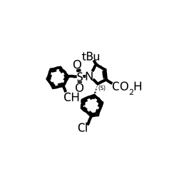 Cc1ccccc1S(=O)(=O)N1C(C(C)(C)C)C=C(C(=O)O)[C@@H]1c1ccc(Cl)cc1